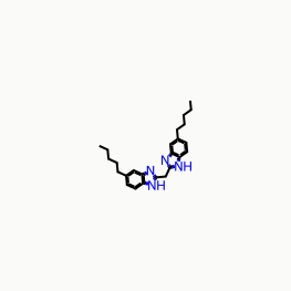 CCCCCc1ccc2[nH]c(Cc3nc4cc(CCCCC)ccc4[nH]3)nc2c1